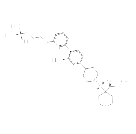 COC(=O)C1(S(=O)(=O)N2CCC(c3ccc(-c4cccc(OCCOC(C)(C)C)n4)c(C)c3)CC2)CCOCC1